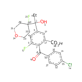 CCC(O)(c1cc(F)c(C(=O)c2ccc(Cl)cc2)c(C(=O)O)c1)C1(F)CCOCC1